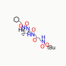 CC(C)(C)OC(=O)NCCC(=O)CNC(=O)[C@@H]1CC2(CC2)[C@H]2CN1C(=O)N2OCc1ccccc1